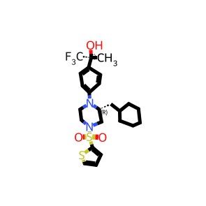 C[C@](O)(c1ccc(N2CCN(S(=O)(=O)c3cccs3)C[C@H]2CC2CCCCC2)cc1)C(F)(F)F